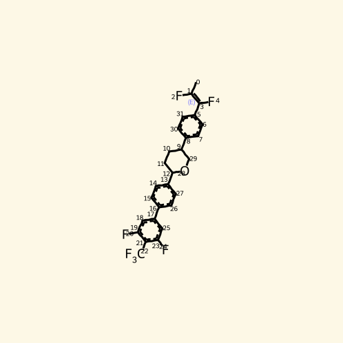 C/C(F)=C(\F)c1ccc(C2CCC(c3ccc(-c4cc(F)c(C(F)(F)F)c(F)c4)cc3)OC2)cc1